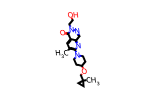 Cc1cc2c(=O)n(CCO)ncc2nc1N1CCC(OCC2(C)CC2)CC1